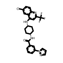 O=C(N[C@H]1CC[C@@H](Nc2cc(C(F)(F)F)nc3ccc(Cl)cc23)CC1)c1cccc(-n2cccn2)c1